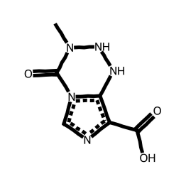 CN1NNc2c(C(=O)O)ncn2C1=O